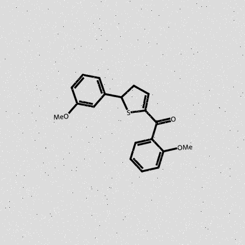 COc1cccc(C2CC=C(C(=O)c3ccccc3OC)S2)c1